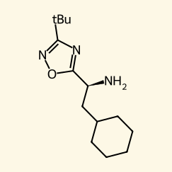 CC(C)(C)c1noc([C@@H](N)CC2CCCCC2)n1